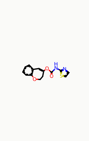 O=C(Nc1nccs1)OC1=Cc2ccccc2OCC1